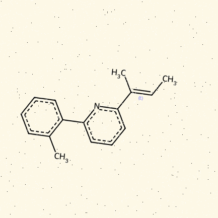 C/C=C(\C)c1cccc(-c2ccccc2C)n1